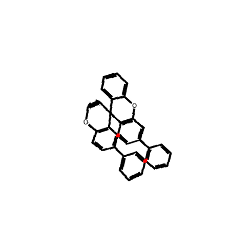 c1ccc(-c2ccc3c(c2)Oc2ccccc2C32c3ccccc3Oc3ccc(-c4ccccc4)cc32)cc1